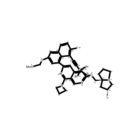 COCOc1cc(-c2cc3nc(OC[C@@]45CCCN4C[C@H](F)C5)ncc3c(N3CCC3)n2)c2c(C#C[Si](C(C)C)(C(C)C)C(C)C)c(F)ccc2c1